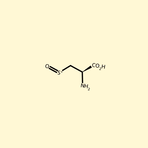 N[C@@H](C[S+]=O)C(=O)O